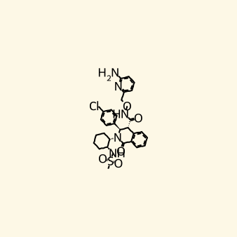 CS(=O)(=O)N[C@H]1CCCC[C@@H]1N1C(=O)c2ccccc2[C@@H](C(=O)NOCc2cccc(N)n2)[C@@H]1c1ccc(Cl)cc1